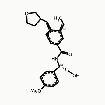 C/C=c1/cc(C(=O)N[C@H](CO)c2ccc(OC)cc2)ccc1=CC1CCOC1